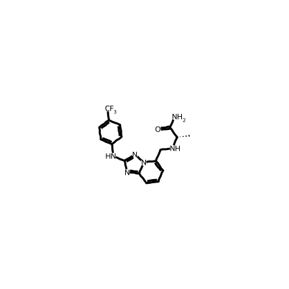 C[C@H](NCc1cccc2nc(Nc3ccc(C(F)(F)F)cc3)nn12)C(N)=O